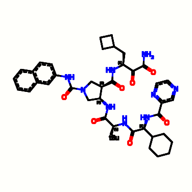 CC(C)(C)[C@H](NC(=O)[C@@H](NC(=O)c1cnccn1)C1CCCCC1)C(=O)N[C@H]1CN(C(=O)Nc2ccc3ccccc3c2)C[C@H]1C(=O)N[C@@H](CC1CCC1)C(=O)C(N)=O